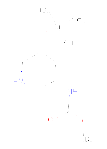 CC(C)(C)OC(=O)N[C@@H]1CNC[C@H](O[Si](C)(C)C(C)(C)C)C1